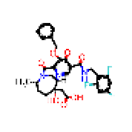 C[C@H]1CC[C@@](O)(CC(=O)O)[C@H]2CN1C(=O)c1c(OCc3ccccc3)c(=O)c(C(=O)NCc3c(F)cc(F)cc3F)cn12